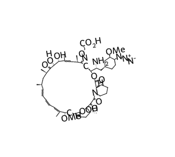 CO[C@H]1C[C@@H]2CC[C@@H](C)[C@@](O)(O2)C(=O)C(=O)N2CCCC[C@H]2C(=O)O[C@H]([C@H](N)C[C@@H]2CCC(N=[N+]=[N-])[C@H](OC)C2)C/C(=N/OCC(=O)O)[C@H](C)/C=C(\C)[C@@H](O)[C@@H](O)C(=O)[C@H](C)C[C@H](C)/C=C/C=C/C=C/1C